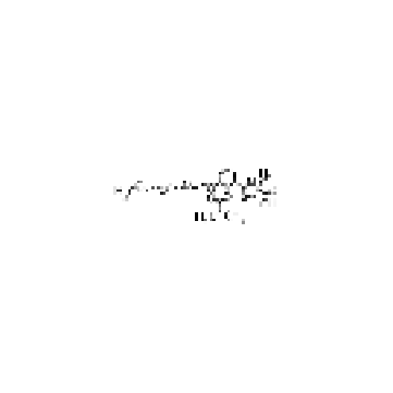 COCCOCCOCCOc1cccc(C2=N[C@@](C)(C(=O)O)CS2)c1OC(=O)C(C)C